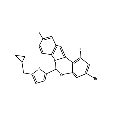 Fc1cc(Br)cc2c1-c1cc3cc(Cl)ccc3n1C(c1ccc(CC3CC3)s1)O2